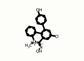 COc1ccccc1-c1c(/C(N)=N/O)cc(Cl)cc1-c1ccc(O)cc1